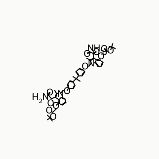 Cc1c(C(=O)C(N)=O)c2c(OCC(=O)OC(C)(C)C)cccc2n1COc1ccc(C(C)(C)c2ccc(OCn3c(C)c(C(=O)C(N)=O)c4c(OCC(=O)OC(C)(C)C)cccc43)cc2)cc1